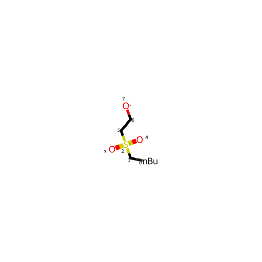 CCCCCS(=O)(=O)CC[O]